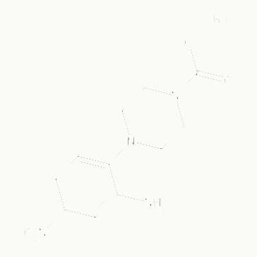 CC(C)(C)OC(=O)N1CCN(C2=CCC([N+](=O)[O-])C=C2N)CC1